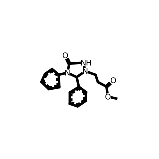 COC(=O)CCN1NC(=O)N(c2ccccc2)C1c1ccccc1